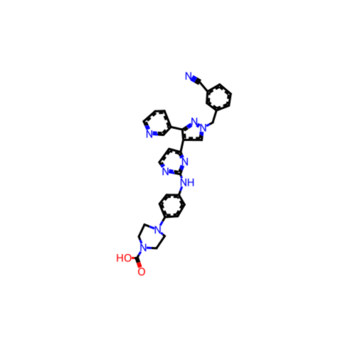 N#Cc1cccc(Cn2cc(-c3ccnc(Nc4ccc(N5CCN(C(=O)O)CC5)cc4)n3)c(-c3cccnc3)n2)c1